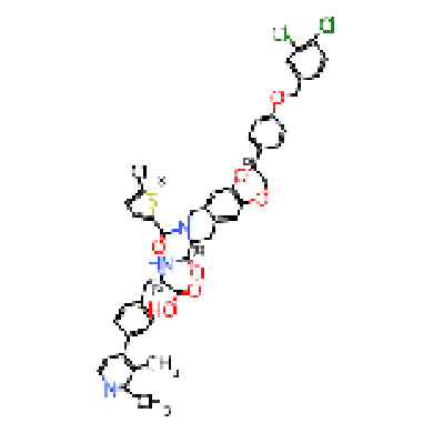 Cc1ccc(C(=O)N2Cc3cc4c(cc3C[C@H]2C(=O)N[C@@H](Cc2ccc(-c3ccnc(C)c3C)cc2)C(=O)O)OC[C@H](c2ccc(OCc3ccc(Cl)c(Cl)c3)cc2)O4)s1